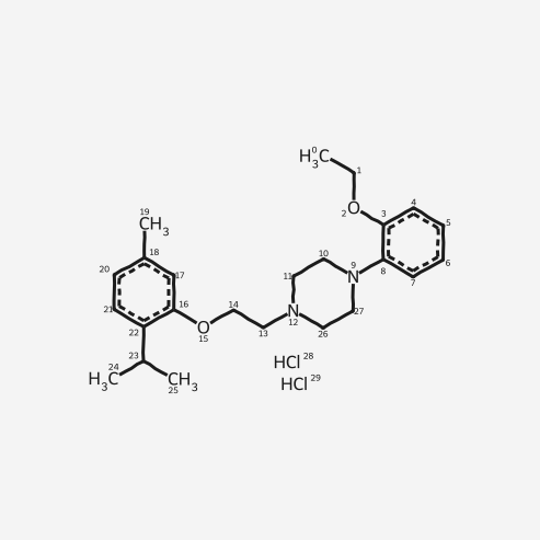 CCOc1ccccc1N1CCN(CCOc2cc(C)ccc2C(C)C)CC1.Cl.Cl